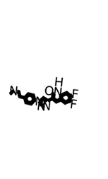 CN(C)CCc1ccc(-n2cc(-c3cc4cc(F)c(F)cc4[nH]c3=O)nn2)cc1